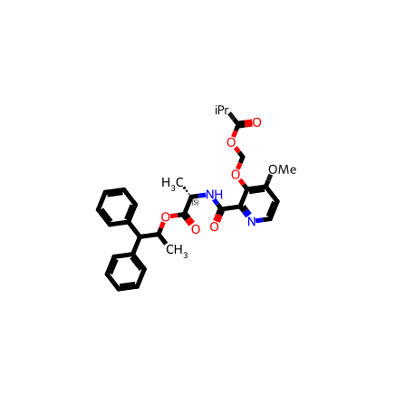 COc1ccnc(C(=O)N[C@@H](C)C(=O)OC(C)C(c2ccccc2)c2ccccc2)c1OCOC(=O)C(C)C